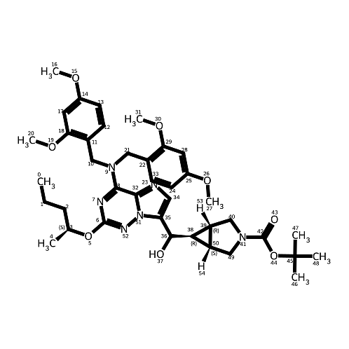 CCC[C@H](C)Oc1nc(N(Cc2ccc(OC)cc2OC)Cc2ccc(OC)cc2OC)c2ncc(C(O)[C@H]3[C@@H]4CN(C(=O)OC(C)(C)C)C[C@@H]43)n2n1